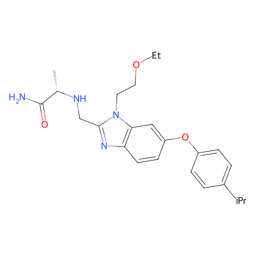 CCOCCn1c(CN[C@@H](C)C(N)=O)nc2ccc(Oc3ccc(C(C)C)cc3)cc21